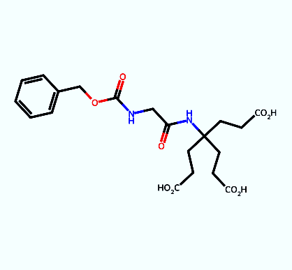 O=C(O)CCC(CCC(=O)O)(CCC(=O)O)NC(=O)CNC(=O)OCc1ccccc1